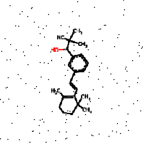 CC1=C(/C=C/c2cccc(C(O)C(C)(C)C#N)c2)C(C)(C)CCC1